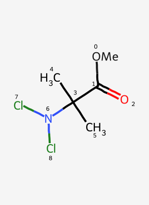 COC(=O)C(C)(C)N(Cl)Cl